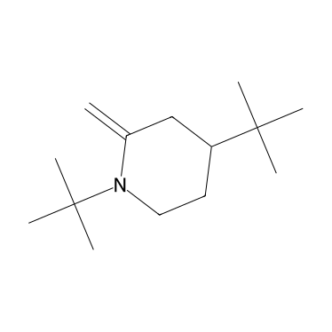 C=C1CC(C(C)(C)C)CCN1C(C)(C)C